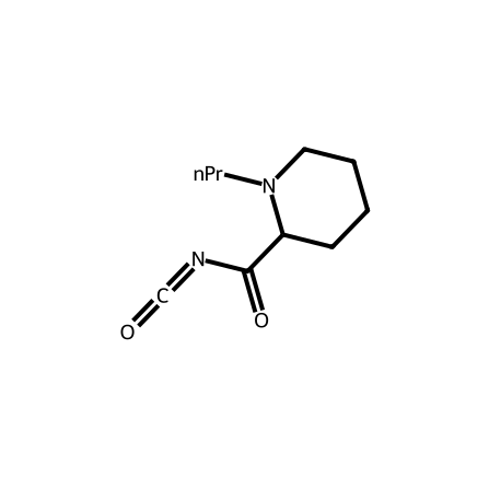 CCCN1CCCCC1C(=O)N=C=O